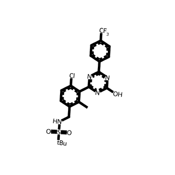 Cc1c(CNS(=O)(=O)C(C)(C)C)ccc(Cl)c1-c1nc(O)nc(-c2ccc(C(F)(F)F)cc2)n1